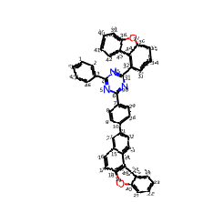 c1ccc(-c2nc(-c3ccc(-c4ccc5c(ccc6oc7ccccc7c65)c4)cc3)nc(-c3cccc4oc5ccccc5c34)n2)cc1